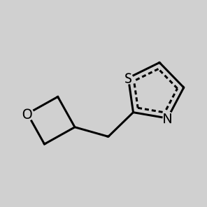 c1csc(CC2COC2)n1